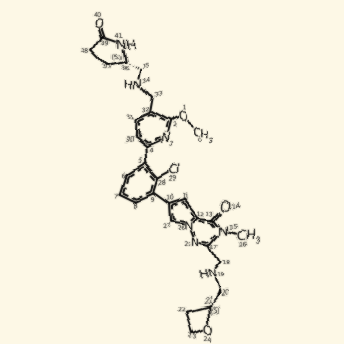 COc1nc(-c2cccc(-c3cc4c(=O)n(C)c(CNC[C@@H]5CCO5)nn4c3)c2Cl)ccc1CNC[C@@H]1CCC(=O)N1